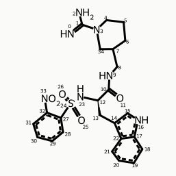 N=C(N)N1CCCC(CNC(=O)[C@@H](Cc2c[nH]c3ccccc23)NS(=O)(=O)c2ccccc2[N+](=O)[O-])C1